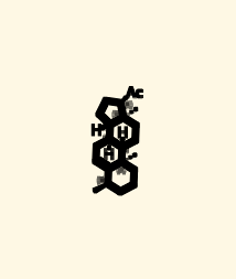 CC(=O)[C@H]1CC[C@H]2[C@@H]3CC=C4[C@H](C)CCC[C@]4(C)[C@H]3CC[C@]12C